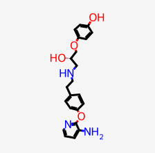 Nc1cccnc1Oc1ccc(CCNC[C@H](O)COc2ccc(O)cc2)cc1